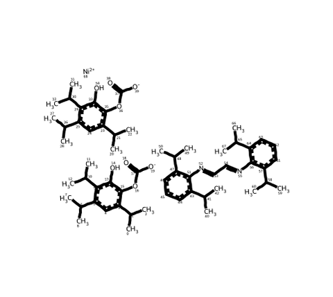 CC(C)c1cc(C(C)C)c(C(C)C)c(O)c1OC(=O)[O-].CC(C)c1cc(C(C)C)c(C(C)C)c(O)c1OC(=O)[O-].CC(C)c1cccc(C(C)C)c1N=CC=Nc1c(C(C)C)cccc1C(C)C.[Ni+2]